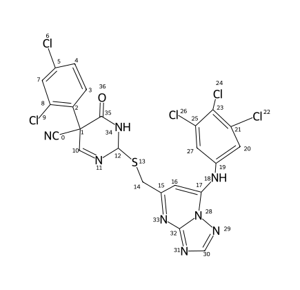 N#CC1(c2ccc(Cl)cc2Cl)C=NC(SCc2cc(Nc3cc(Cl)c(Cl)c(Cl)c3)n3ncnc3n2)NC1=O